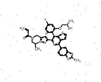 C=CC(=O)N1Cc2cc(-c3nc(-c4ccc5oc(C)nc5c4)c4ccsc4c3-c3c(F)cc(F)cc3OCC(C)O)nn2C(C)C1